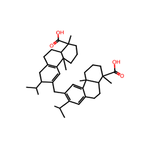 CC(C)c1cc2c(cc1CC1=CC3=C(CCC4C(C)(C(=O)O)CCCC34C)CC1C(C)C)C1(C)CCCC(C)(C(=O)O)C1CC2